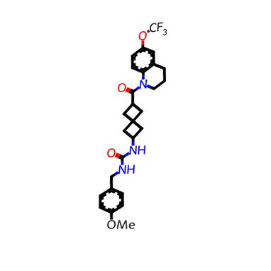 COc1ccc(CNC(=O)NC2CC3(C2)CC(C(=O)N2CCCc4cc(OC(F)(F)F)ccc42)C3)cc1